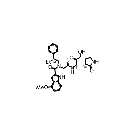 CC[C@H](CN(CC(=O)N[C@@H](C[C@@H]1CCNC1=O)C(=O)CO)C(=O)c1cc2c(OC)cccc2[nH]1)c1ccccc1